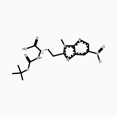 Cn1c(CC[C@H](NC(=O)OC(C)(C)C)C(=O)O)nc2cc([N+](=O)[O-])cnc21